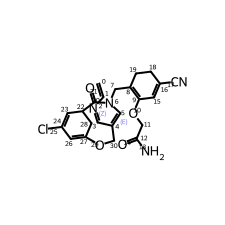 C=C/N=C\C1=C/N(CC2=C(OCC(N)=O)C=C(C#N)CC2)C(=O)C2C=C(Cl)C=C(C2)OC1